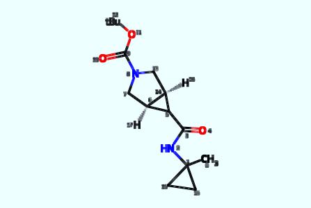 CC1(NC(=O)C2[C@H]3CN(C(=O)OC(C)(C)C)C[C@@H]23)CC1